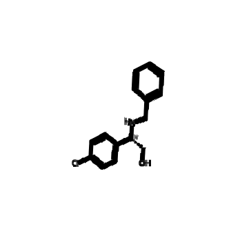 OC[C@@H](NCc1ccccc1)c1ccc(Cl)cc1